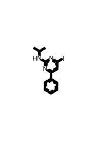 CC(C)Nc1nc(I)cc(-c2ccccc2)n1